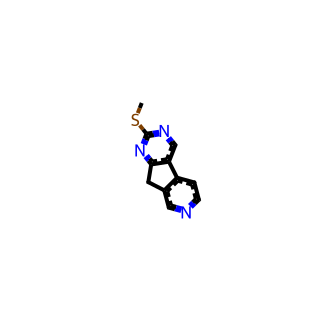 CSc1ncc2c(n1)Cc1cnccc1-2